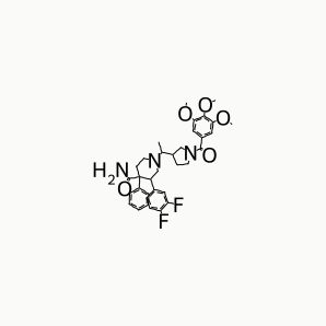 COc1cc(C(=O)N2CCC(C(C)N3CCC(C(N)=O)(c4ccccc4)C(c4ccc(F)c(F)c4)C3)C2)cc(OC)c1OC